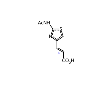 CC(=O)Nc1nc(/C=C/C(=O)O)cs1